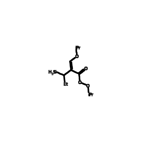 CCC([SiH3])C(=COC(C)C)C(=O)OOC(C)C